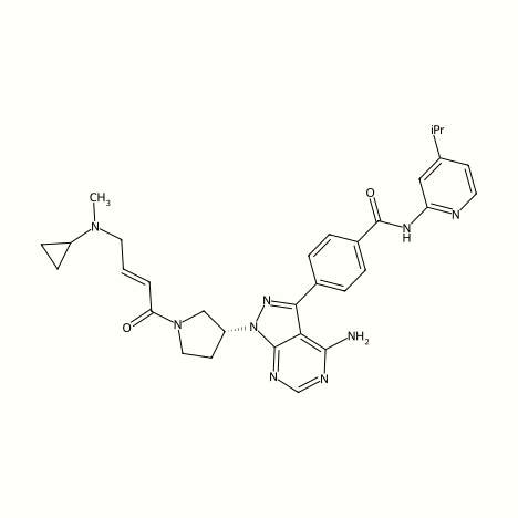 CC(C)c1ccnc(NC(=O)c2ccc(-c3nn([C@@H]4CCN(C(=O)C=CCN(C)C5CC5)C4)c4ncnc(N)c34)cc2)c1